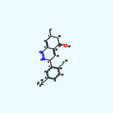 CC1C=C2N=NC(c3cc(C(F)(F)F)ccc3F)C=C2C(=O)C1